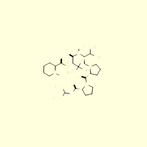 CC(C)OC(=O)[C@@H]1CCCN1C(=O)[C@@H]1CCCN1C[C@H](C(C)C)N(C)C(=O)[C@@H](NC(=O)C1CCCCN1C)C(C)(C)C